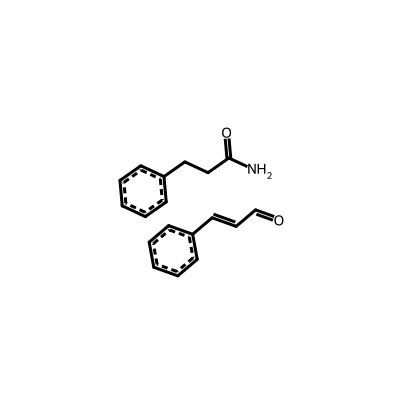 NC(=O)CCc1ccccc1.O=CC=Cc1ccccc1